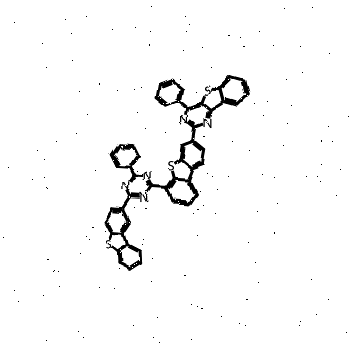 c1ccc(-c2nc(-c3ccc4sc5ccccc5c4c3)nc(-c3cccc4c3sc3cc(-c5nc(-c6ccccc6)c6sc7ccccc7c6n5)ccc34)n2)cc1